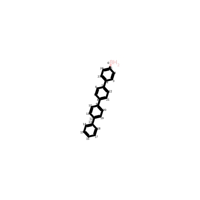 Bc1ccc(-c2ccc(-c3ccc(-c4ccccc4)cc3)cc2)cc1